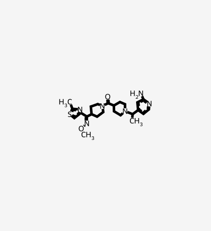 CON=C(c1csc(C)n1)C1CCN(C(=O)C2CCN(C(C)c3ccnc(N)c3)CC2)CC1